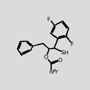 CCCC(=O)OC(Cc1ccccc1)C(S)c1cc(F)ccc1F